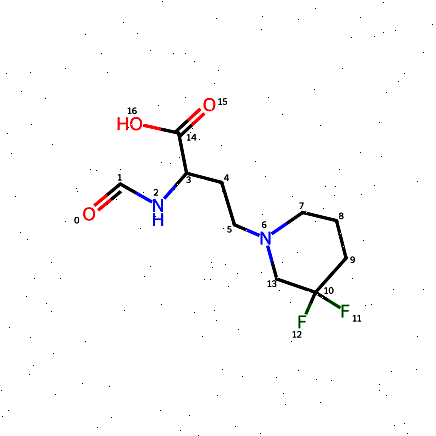 O=CNC(CCN1CCCC(F)(F)C1)C(=O)O